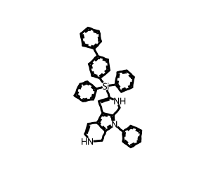 C1=Cc2c3c(n(-c4ccccc4)c2CN1)CNC([Si](c1ccccc1)(c1ccccc1)c1ccc(-c2ccccc2)cc1)=C3